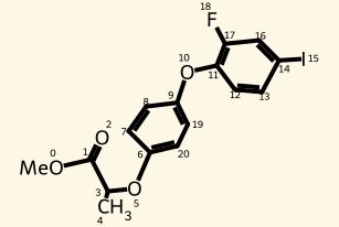 COC(=O)C(C)Oc1ccc(Oc2ccc(I)cc2F)cc1